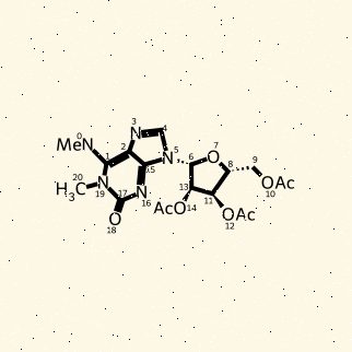 CNc1c2ncn([C@@H]3O[C@H](COC(C)=O)[C@@H](OC(C)=O)[C@H]3OC(C)=O)c2nc(=O)n1C